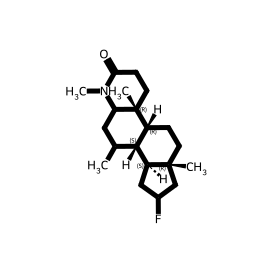 CC1CC2N(C)C(=O)CC[C@]2(C)[C@@H]2CC[C@]3(C)CC(F)C[C@H]3[C@H]12